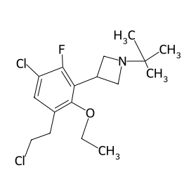 CCOc1c(CCCl)cc(Cl)c(F)c1C1CN(C(C)(C)C)C1